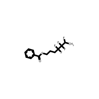 CC(F)C(F)(F)C(F)(F)CCCSC(=O)c1ccccc1